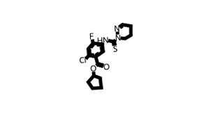 O=C(OC1CCCC1)c1cc(NC(=S)N2CCCC=N2)c(F)cc1Cl